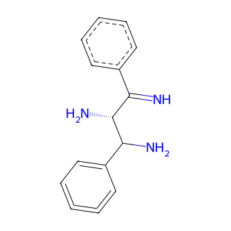 N=C(c1ccccc1)[C@@H](N)C(N)C1=CC=C=C=C1